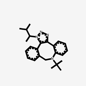 CC(C)C(C)n1nnc2c1-c1ccccc1CN(C(C)(C)C)c1ccccc1-2